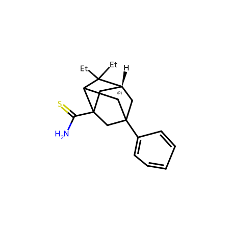 CCC1(CC)C2CC3(c4ccccc4)C[C@@H]1CC2(C(N)=S)C3